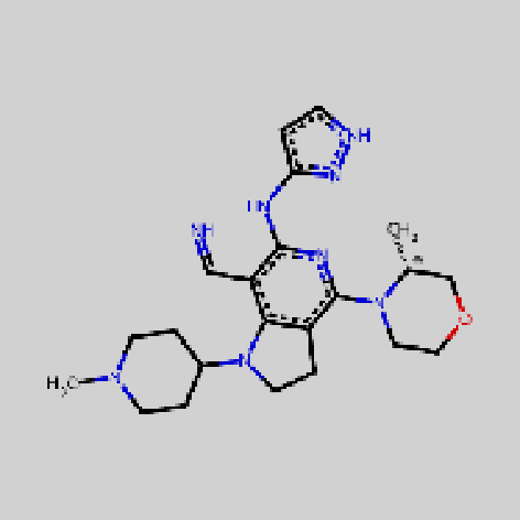 C[C@@H]1COCCN1c1nc(Nc2cc[nH]n2)c(C=N)c2c1CCN2C1CCN(C)CC1